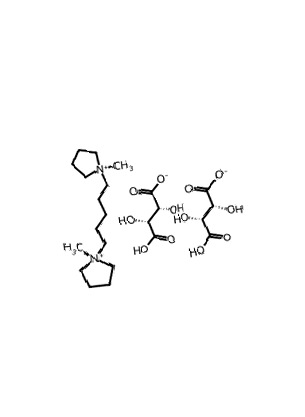 C[N+]1(CCCCC[N+]2(C)CCCC2)CCCC1.O=C([O-])[C@H](O)[C@@H](O)C(=O)O.O=C([O-])[C@H](O)[C@@H](O)C(=O)O